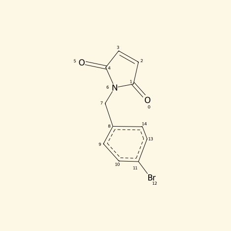 O=C1C=CC(=O)N1Cc1ccc(Br)cc1